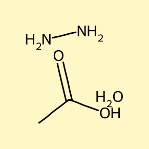 CC(=O)O.NN.O